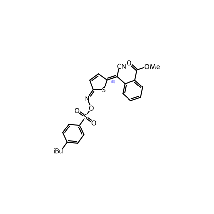 CCC(C)c1ccc(S(=O)(=O)ON=C2C=C/C(=C(\C#N)c3ccccc3C(=O)OC)S2)cc1